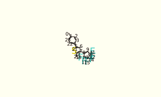 Cc1ccc(-c2cc(C3=CC(F)(F)C(F)(F)C3(F)F)c(C)s2)cc1